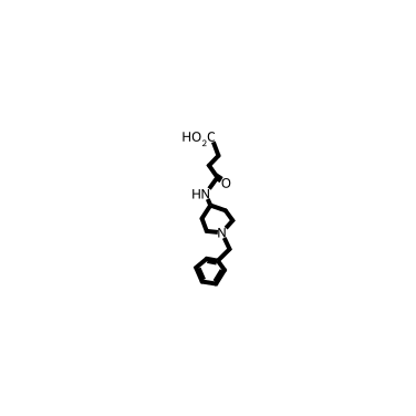 O=C(O)CCC(=O)NC1CCN(Cc2ccccc2)CC1